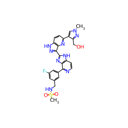 Cn1cc(-c2ccc3[nH]nc(-c4nc5c(-c6cc(F)cc(CNS(C)(=O)=O)c6)nccc5[nH]4)c3n2)c(CO)n1